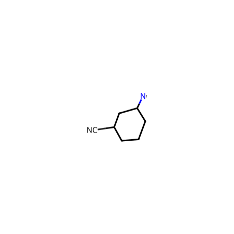 [N]C1CCCC(C#N)C1